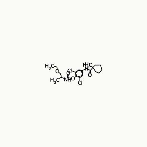 CCOCC(C)NC(=O)Oc1c(Cl)cc(NC(=O)C2(C)CCCCC2)cc1Cl